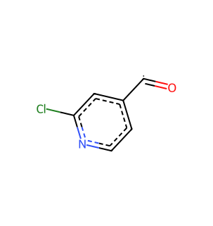 O=[C]c1ccnc(Cl)c1